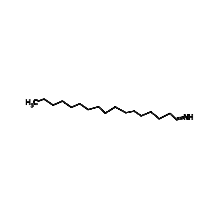 CCCCCCCCCCCCCCCCC=N